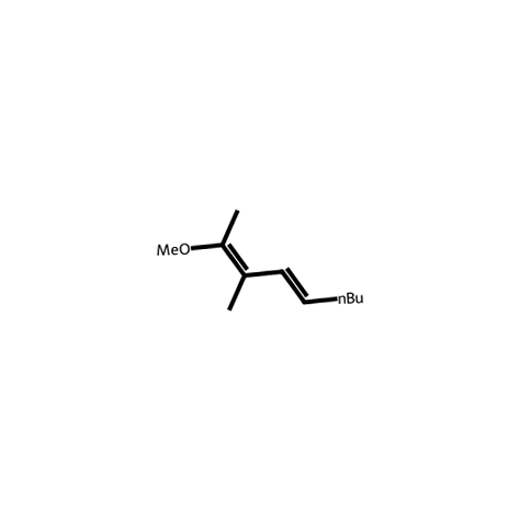 CCCC/C=C/C(C)=C(\C)OC